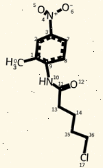 Cc1cc([N+](=O)[O-])ccc1NC(=O)CCCCCl